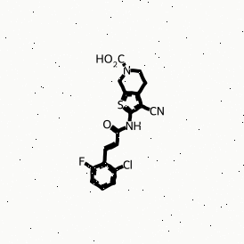 N#Cc1c(NC(=O)C=Cc2c(F)cccc2Cl)sc2c1CCN(C(=O)O)C2